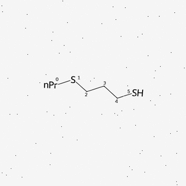 CCCSCCCS